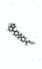 CC(C)(C)OC(=O)N1CCC(S(=O)(=O)N2CC=C(c3ncnc4[nH]ccc34)CC2)CC1